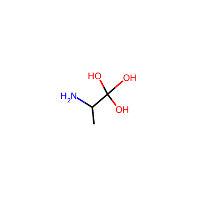 CC(N)C(O)(O)O